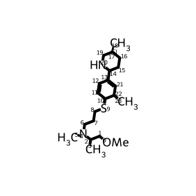 COCC(C)N(C)CCCSC1C=CC(C2CC[C@H](C)CN2)=CC1C